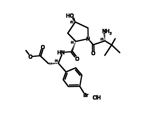 COC(=O)C[C@H](NC(=O)[C@@H]1C[C@@H](O)CN1C(=O)[C@H](N)C(C)(C)C)c1ccc(Br)cc1.Cl